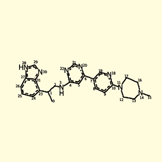 CC(CNc1cc(-c2ccc(N3CCN(C)CC3)nc2)ncn1)c1cccc2[nH]cnc12